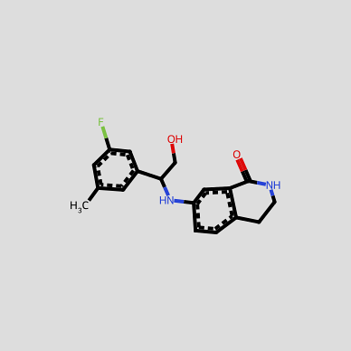 Cc1cc(F)cc(C(CO)Nc2ccc3c(c2)C(=O)NCC3)c1